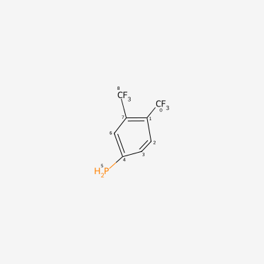 FC(F)(F)c1ccc(P)cc1C(F)(F)F